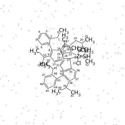 CCc1ccccc1-c1c(C(C)C)ccc2c1C=C(CC(C)C)[CH]2[Zr]([Cl])([Cl])([CH]1C(CC(C)C)=Cc2c1ccc(C(C)C)c2-c1ccccc1CC)[SiH](C)C